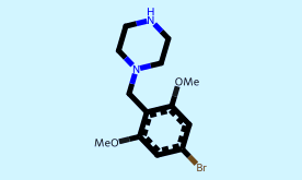 COc1cc(Br)cc(OC)c1CN1CCNCC1